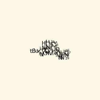 COc1ncc(C(C)(C)C)cc1NC(=O)N[C@H]1CC[C@@H](Oc2ccc3nnc([C@@H]4CCCN4C)n3c2)c2ccccc21